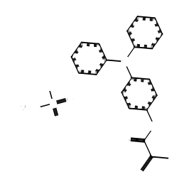 C=C(C)C(=O)Oc1ccc([S+](c2ccccc2)c2ccccc2)cc1.COS(=O)(=O)[O-]